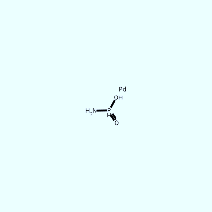 N[PH](=O)O.[Pd]